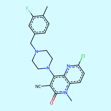 Cc1ccc(CN2CCN(c3c(C#N)c(=O)n(C)c4ccc(Cl)nc34)CC2)cc1F